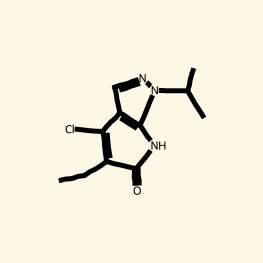 CCc1c(Cl)c2cnn(C(C)C)c2[nH]c1=O